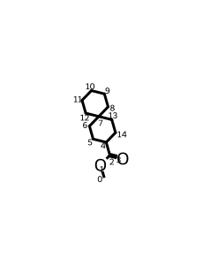 COC(=O)C1CCC2(CCCCC2)CC1